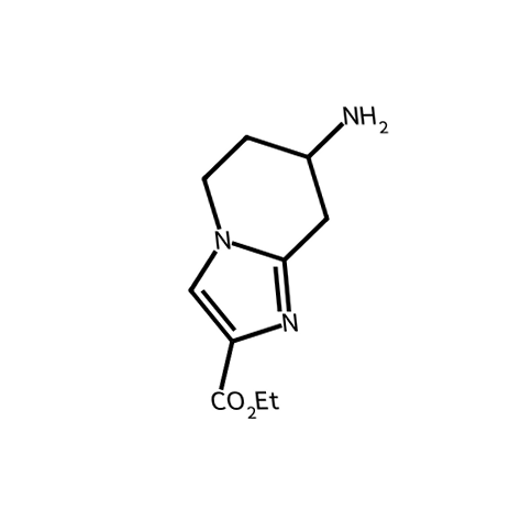 CCOC(=O)c1cn2c(n1)CC(N)CC2